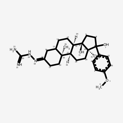 COc1ccc(C2(O)CC[C@@]3(O)[C@@H]4CCC5CC(=NNC(=N)N)CC[C@]5(C)[C@@H]4CC[C@]23C)cc1